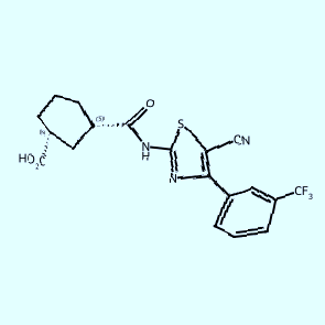 N#Cc1sc(NC(=O)[C@H]2CCC[C@@H](C(=O)O)C2)nc1-c1cccc(C(F)(F)F)c1